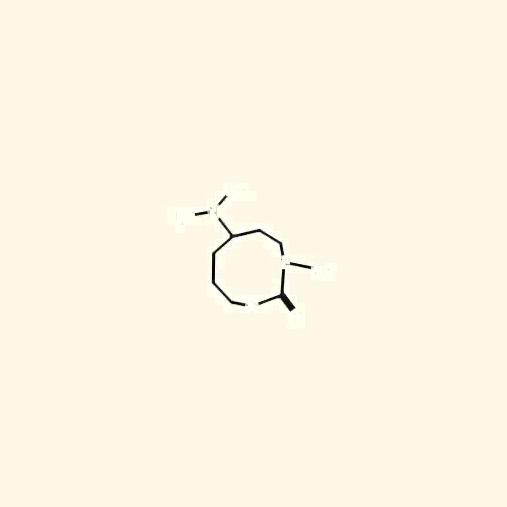 CN1CCC(N(C)C)CCCOC1=O